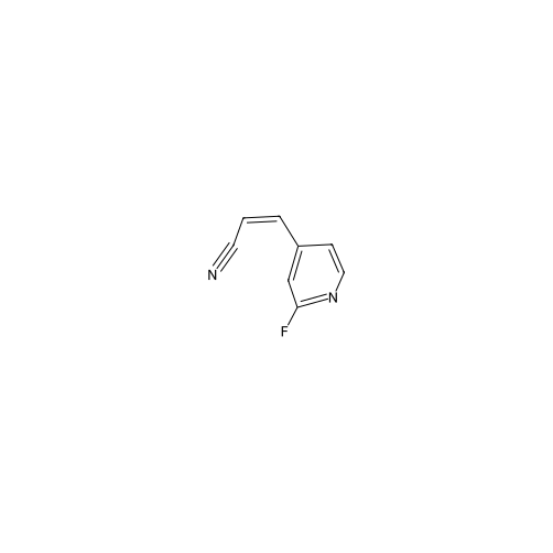 N#C/C=C\c1ccnc(F)c1